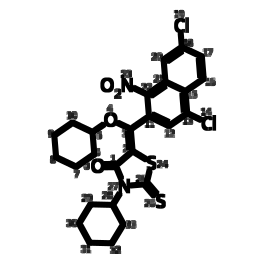 O=C1/C(=C(\OC2CCCCC2)c2cc(Cl)c3ccc(Cl)cc3c2[N+](=O)[O-])SC(=S)N1C1CCCCC1